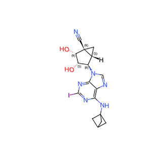 N#C[C@@]12C[C@@H]1[C@@H](n1cnc3c(NC45CC(C4)C5)nc(I)nc31)[C@H](O)[C@@H]2O